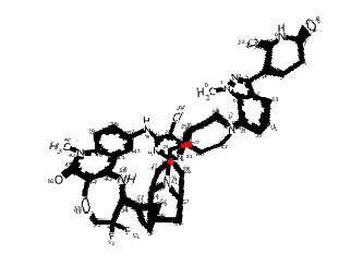 Cn1nc(C2CCC(=O)NC2=O)c2cccc(N3CCC(CN4CC5CCC(C4)N5c4ncc(Cl)c(Nc5ccc6c(c5)c5c(c(=O)n6C)OCC(F)(F)C(C6CC6)N5)n4)CC3)c21